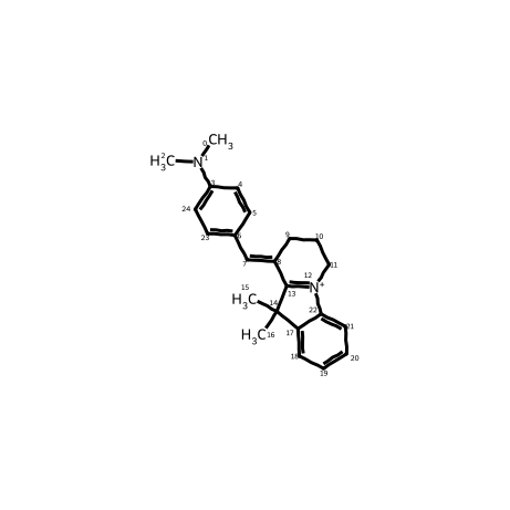 CN(C)c1ccc(C=C2CCC[N+]3=C2C(C)(C)c2ccccc23)cc1